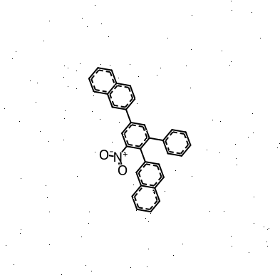 O=[N+]([O-])c1cc(-c2ccc3ccccc3c2)cc(-c2ccccc2)c1-c1ccc2ccccc2c1